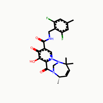 Cc1cc(F)c(CNC(=O)c2cn3c(c(O)c2=O)C(=O)N2CN3C(C)(C)C=C[C@@H]2C)c(F)c1